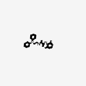 CC(=N\CCP(c1ccccc1)c1ccccc1)/C(C)=N/c1c(C)cccc1C